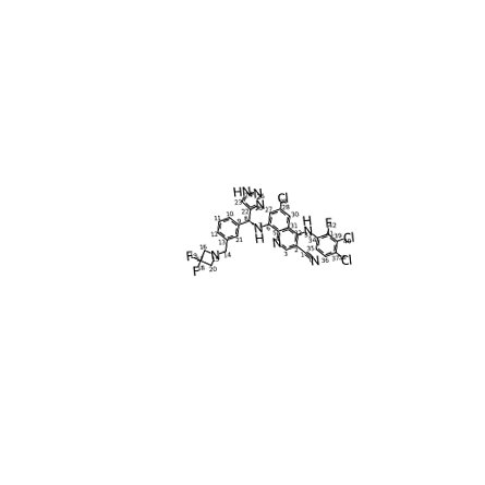 N#Cc1cnc2c(N[C@@H](c3cccc(CN4CC(F)(F)C4)c3)c3c[nH]nn3)cc(Cl)cc2c1Nc1ccc(Cl)c(Cl)c1F